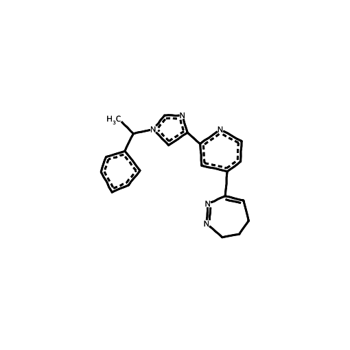 CC(c1ccccc1)n1cnc(-c2cc(C3=CCCCN=N3)ccn2)c1